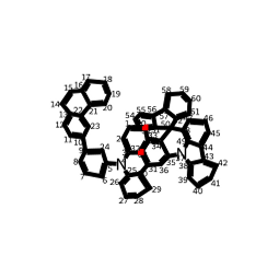 c1ccc(N(c2cccc(-c3ccc4ccc5ccccc5c4c3)c2)c2ccccc2-c2ccc3c(c2)-n2c4ccccc4c4cccc(c42)C32c3ccccc3-c3ccccc32)cc1